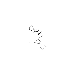 COc1cc(-c2cnc3[nH]cc(C(=O)C4(C)CCCCC4)c3n2)cc(N2CCSCC2)c1